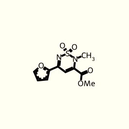 COC(=O)C1=CC(c2ccco2)=NS(=O)(=O)N1C